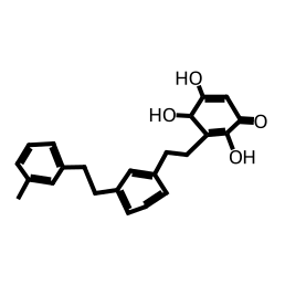 Cc1cccc(CCc2cccc(CCC3=C(O)C(=O)C=C(O)C3O)c2)c1